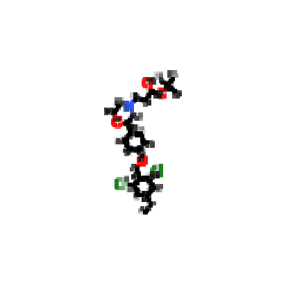 CCc1cc(Cl)c(COc2ccc(C3CN(CCC(=O)OC(C)(C)C)CCO3)cc2)c(Cl)c1